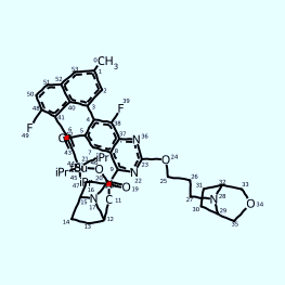 Cc1cc(-c2c(Cl)cc3c(N4CC5CCC(C4)N5C(=O)OC(C)(C)C)nc(OCCCN4C5CCC4COC5)nc3c2F)c2c(C#C[Si](C(C)C)(C(C)C)C(C)C)c(F)ccc2c1